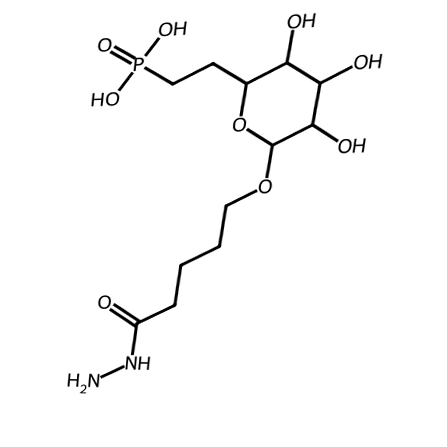 NNC(=O)CCCCOC1OC(CCP(=O)(O)O)C(O)C(O)C1O